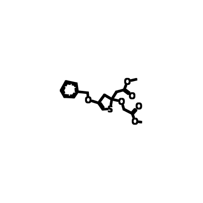 COC(=O)COC1(CC(=O)OC)CC(OCc2ccccc2)=CS1